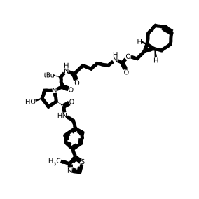 Cc1ncsc1-c1ccc(CNC(=O)[C@@H]2C[C@@H](O)CN2C(=O)[C@@H](NC(=O)CCCCNC(=O)OCC2[C@H]3CCC#CCC[C@@H]23)C(C)(C)C)cc1